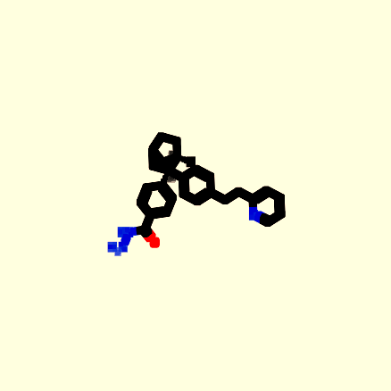 NNC(=O)c1ccc([C@]2(c3ccc(CCc4ccccn4)cc3)CC3CC[C@@H]2C3)cc1